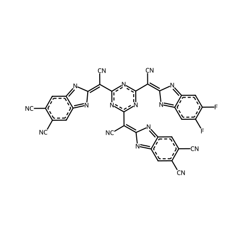 N#CC(=C1N=c2cc(F)c(F)cc2=N1)c1nc(C(C#N)=C2N=c3cc(C#N)c(C#N)cc3=N2)nc(C(C#N)=C2N=c3cc(C#N)c(C#N)cc3=N2)n1